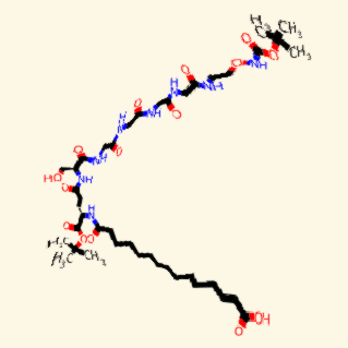 CC(C)(C)OC(=O)NOCCNC(=O)CNC(=O)CNC(=O)CNC(=O)CNC(=O)[C@H](CO)NC(=O)CC[C@H](NC(=O)CCCCCCCCCCCCCC(=O)O)C(=O)OC(C)(C)C